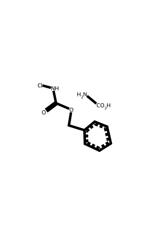 NC(=O)O.O=C(NCl)OCc1ccccc1